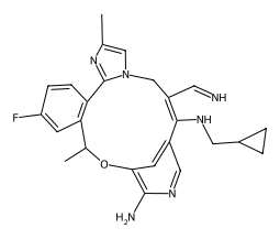 Cc1cn2c(n1)-c1ccc(F)cc1C(C)Oc1cc(cnc1N)/C(NCC1CC1)=C(/C=N)C2